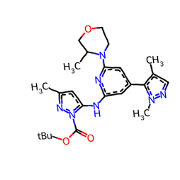 Cc1cc(Nc2cc(-c3c(C)cnn3C)cc(N3CCOCC3C)n2)n(C(=O)OC(C)(C)C)n1